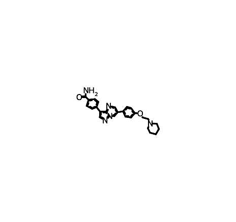 NC(=O)c1ccc(-c2cnn3cc(-c4ccc(OCCN5CCCCC5)cc4)cnc23)cc1